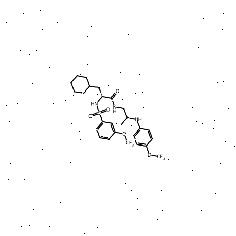 CC(CNC(=O)[C@H](CC1CCCCC1)NS(=O)(=O)c1cccc(OC(F)(F)F)c1)Nc1ccc(OC(F)(F)F)cc1